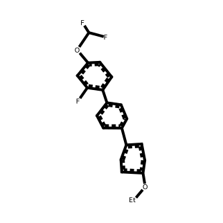 CCOc1ccc(-c2ccc(-c3ccc(OC(F)F)cc3F)cc2)cc1